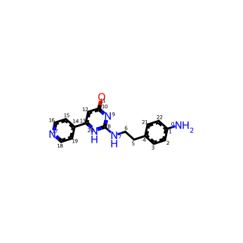 Nc1ccc(CCNc2nc(=O)cc(-c3ccncc3)[nH]2)cc1